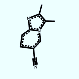 Cc1nc2ccc(C#N)cn2c1C